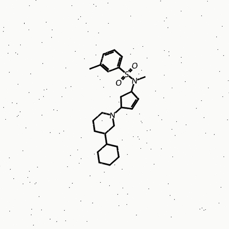 Cc1cccc(S(=O)(=O)N(C)C2C=CC(N3CCCC(C4CCCCC4)C3)C2)c1